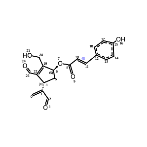 C=C(C=O)[C@H]1C[C@H](OC(=O)/C=C/c2ccc(O)cc2)C(CO)=C1C=O